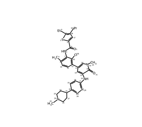 CCc1sc(C(=O)Nc2c(C)ccc(-c3cc(Nc4ccc(C5CCN(C)CC5)nn4)c(=O)n(C)c3)c2Cl)cc1C(C)C